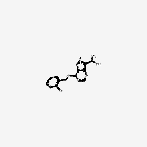 CC(C)c1[nH]nc2c(NCc3ccccc3O)ncnc12